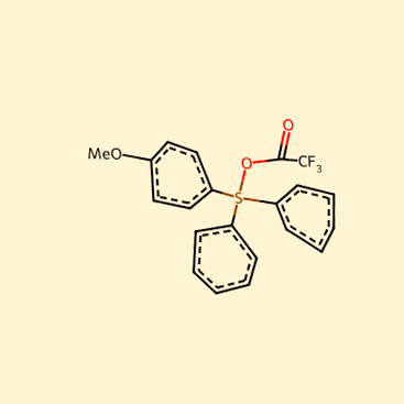 COc1ccc(S(OC(=O)C(F)(F)F)(c2ccccc2)c2ccccc2)cc1